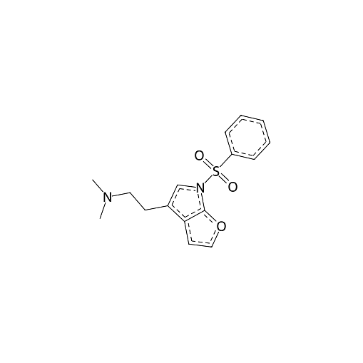 CN(C)CCc1cn(S(=O)(=O)c2ccccc2)c2occc12